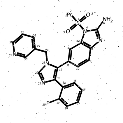 CC(C)S(=O)(=O)n1c(N)nc2ccc(-c3c(-c4ccccc4F)ncn3Cc3cccnc3)cc21